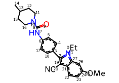 CCn1c(-c2ccc(NC(=O)N3CCC(C)CC3)cc2)c(C#N)c2ccc(OC)cc21